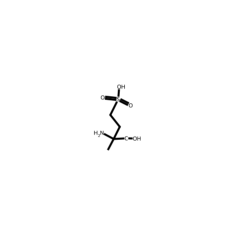 CC(N)(CO)CCS(=O)(=O)O